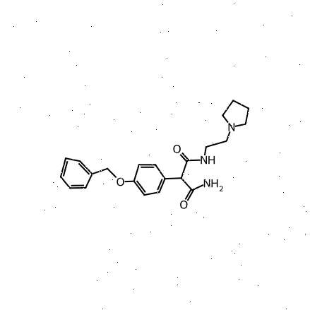 NC(=O)C(C(=O)NCCN1CCCC1)c1ccc(OCc2ccccc2)cc1